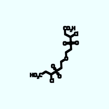 O=C(O)CC(Cl)S(=O)(=O)CCOCCS(=O)(=O)C(Cl)CC(=O)O